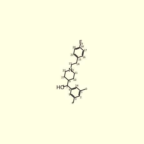 Cc1cc(C)cc(C(O)C2CCN(CCc3ccc(F)cc3)CC2)c1